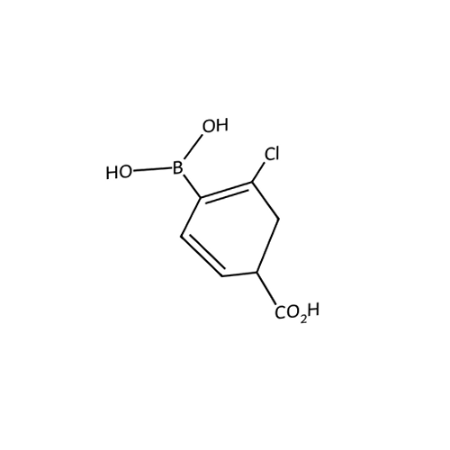 O=C(O)C1C=CC(B(O)O)=C(Cl)C1